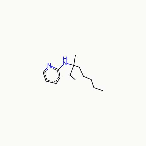 CCCCCC(C)(CC)Nc1ccccn1